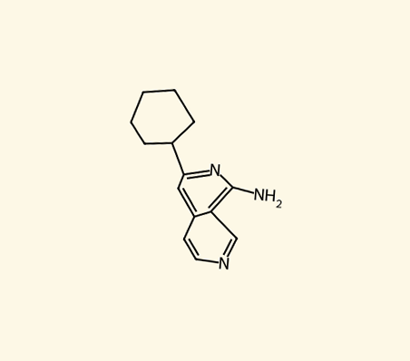 Nc1nc(C2CCCCC2)cc2ccncc12